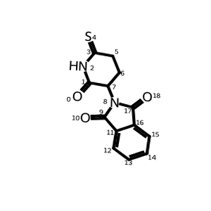 O=C1NC(=S)CCC1N1C(=O)c2ccccc2C1=O